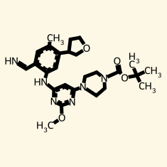 COc1nc(Nc2cc(C3CCOC3)c(C)cc2C=N)cc(N2CCN(C(=O)OC(C)(C)C)CC2)n1